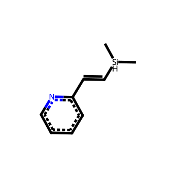 C[SiH](C)C=Cc1ccccn1